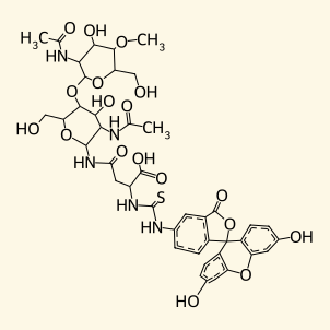 COC1C(CO)OC(OC2C(CO)OC(NC(=O)CC(NC(=S)Nc3ccc4c(c3)C(=O)OC43c4ccc(O)cc4Oc4cc(O)ccc43)C(=O)O)C(NC(C)=O)C2O)C(NC(C)=O)C1O